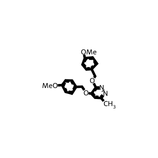 COc1ccc(COc2cc(C)nnc2OCc2ccc(OC)cc2)cc1